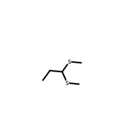 CCC(SC)SC